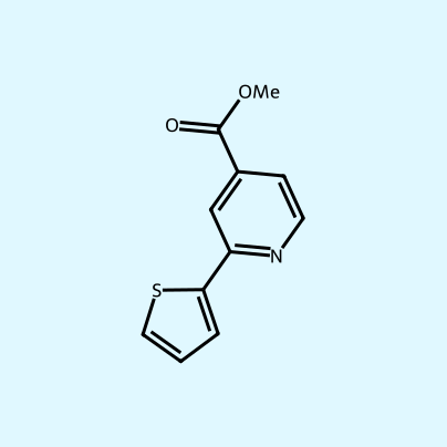 COC(=O)c1ccnc(-c2cccs2)c1